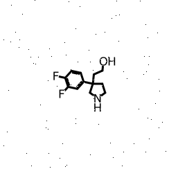 OCCC1(c2ccc(F)c(F)c2)CCNC1